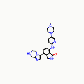 CN1CCN(c2ccc(Nc3ccc(-c4cnc5n4CCNC5)c4c3C(=O)NC4)nc2)CC1